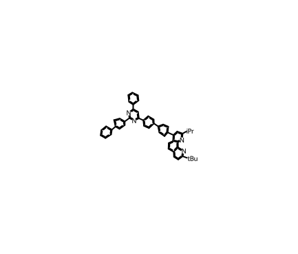 CC(C)c1cc(-c2ccc(-c3ccc(-c4cc(-c5ccccc5)nc(-c5ccc(-c6ccccc6)cc5)n4)cc3)cc2)c2ccc3ccc(C(C)(C)C)nc3c2n1